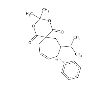 CC(C)C1CC2(CC=C[C@H]1c1ccccc1)C(=O)OC(C)(C)OC2=O